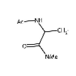 [CH2]C(NC(C)=O)C(=O)NC